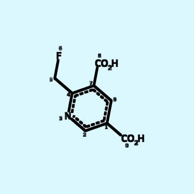 O=C(O)c1cnc(CF)c(C(=O)O)c1